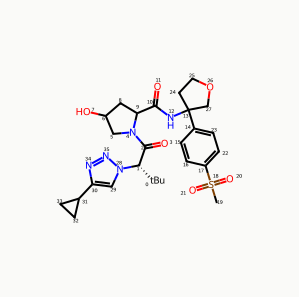 CC(C)(C)[C@@H](C(=O)N1CC(O)CC1C(=O)NC1(c2ccc(S(C)(=O)=O)cc2)CCOC1)n1cc(C2CC2)nn1